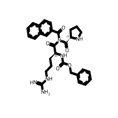 N=C(N)NCCC[C@H](NC(=O)OCc1ccccc1)C(=O)N(C(=O)c1ccc2ccccc2c1)C(=O)[C@@H]1CCCN1